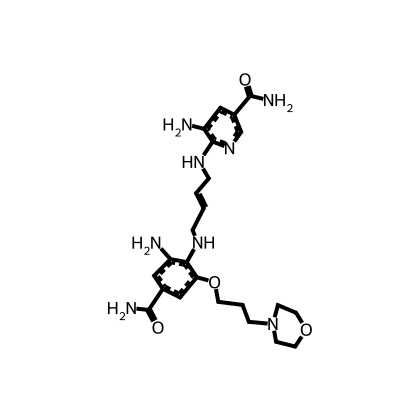 NC(=O)c1cnc(NCC=CCNc2c(N)cc(C(N)=O)cc2OCCCN2CCOCC2)c(N)c1